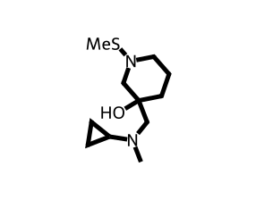 CSN1CCCC(O)(CN(C)C2CC2)C1